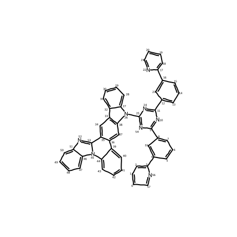 c1ccc(-c2cccc(-c3nc(-c4cccc(-c5ccccn5)c4)nc(-n4c5ccccc5c5cc6c(cc54)c4ccccc4n4c5ccccc5nc64)n3)c2)nc1